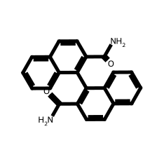 NC(=O)c1ccc2ccccc2c1-c1c(C(N)=O)ccc2ccccc12